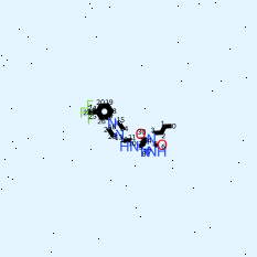 CCCCn1c(=O)[nH]nc(NCCN2CCN(c3cccc(C(F)(F)F)c3)CC2)c1=O